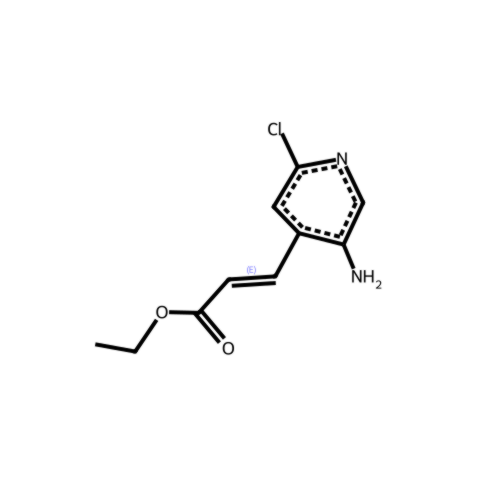 CCOC(=O)/C=C/c1cc(Cl)ncc1N